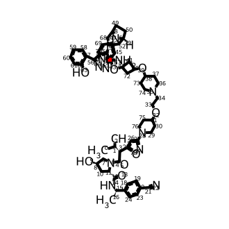 CC(C)[C@@H](C(=O)N1C[C@H](O)C[C@H]1C(=O)N[C@@H](C)c1ccc(C#N)cc1)c1cc(N2CCC(OCCN3CCC(OC4CC(Oc5cc(N6C7CC[C@@H]6CN(c6cc(-c8ccccc8O)nnc6N)C7)ccn5)C4)CC3)CC2)no1